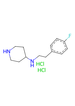 Cl.Cl.Fc1ccc(CCNC2CCNCC2)cc1